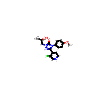 CC(C)Oc1ccc(-n2c(-c3ccncc3Cl)nn(CC(O)C(C)(C)C)c2=O)cc1